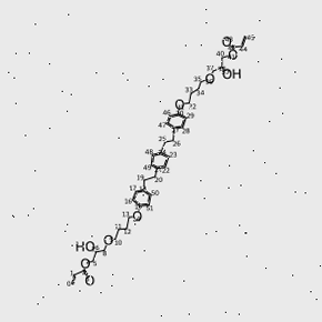 C=CC(=O)OCC(O)COCCCCOc1ccc(CCc2ccc(CCc3ccc(OCCCCOCC(O)COC(=O)C=C)cc3)cc2)cc1